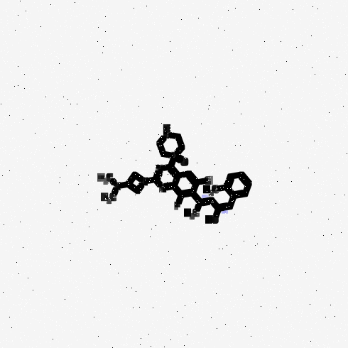 C/C(=C\C(O)=C/c1ccccc1C)c1c(Cl)cc2c(P3(=O)CCNCC3)nc(N3CC(N(C)C)C3)nc2c1F